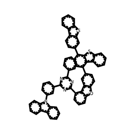 c1ccc(-c2nc(-c3cccc(-n4c5ccccc5c5ccccc54)c3)nc(-c3cccc4oc5ccc(-c6ccc(-c7ccc8c(c7)sc7ccccc78)c7sc8ccccc8c67)cc5c34)n2)cc1